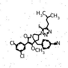 COC1=C(c2cc(Cl)cc(Cl)c2)C(=O)N2CC(n3nnc(CCC(C)C)c3I)CC12Cc1ccc(C#N)cc1